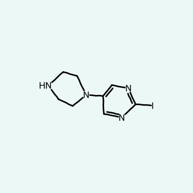 Ic1ncc(N2CCNCC2)cn1